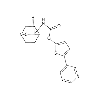 O=C(N[C@@H]1CN2CCC1CC2)Oc1ccc(-c2cccnc2)s1